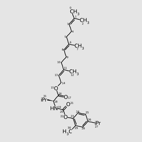 CC(C)=CCC/C(C)=C/CC/C(C)=C/COC(=O)[C@@H](NC(=O)Oc1ccc(C(C)C)cc1C)C(C)C